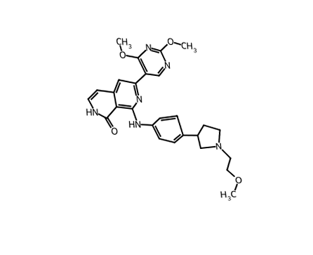 COCCN1CCC(c2ccc(Nc3nc(-c4cnc(OC)nc4OC)cc4cc[nH]c(=O)c34)cc2)C1